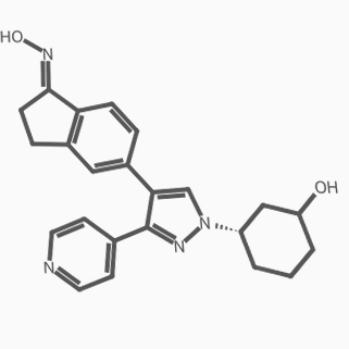 O/N=C1\CCc2cc(-c3cn([C@H]4CCCC(O)C4)nc3-c3ccncc3)ccc21